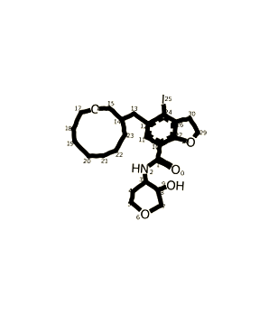 O=C(NC1CCOCC1O)c1cc(CC2CCCCCCCCC2)c(I)c2c1OCC2